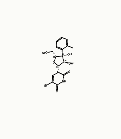 CCc1cn([C@@H]2O[C@H](COC(C)=O)[C@@](O)(c3ccccc3C)[C@H]2OC(C)=O)c(=O)[nH]c1=O